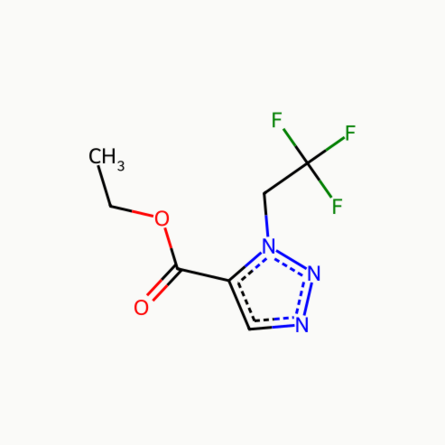 CCOC(=O)c1cnnn1CC(F)(F)F